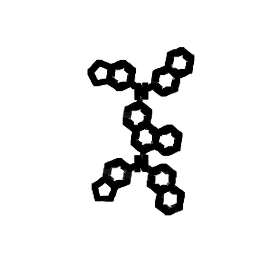 c1ccc2cc(N(c3ccc4c(c3)CCC4)c3ccc4cc(N(c5ccc6c(c5)CCC6)c5ccc6ccccc6c5)c5ccccc5c4c3)ccc2c1